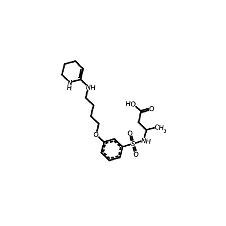 CC(CC(=O)O)NS(=O)(=O)c1cccc(OCCCCNC2=CCCCN2)c1